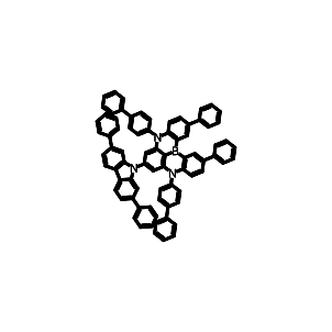 c1ccc(-c2ccc(N3c4ccc(-c5ccccc5)cc4B4c5cc(-c6ccccc6)ccc5N(c5ccc(-c6ccccc6)cc5)c5cc(-n6c7cc(-c8ccccc8)ccc7c7ccc(-c8ccccc8)cc76)cc3c54)cc2)cc1